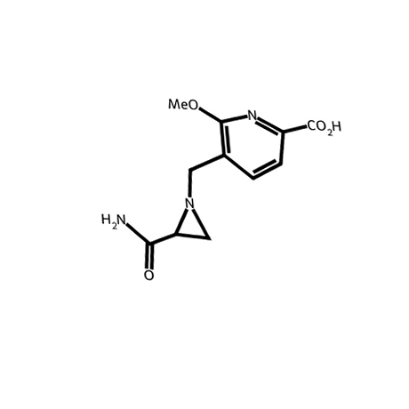 COc1nc(C(=O)O)ccc1CN1CC1C(N)=O